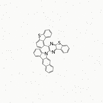 c1ccc2cc3c(cc2c1)c1ccccc1n3-c1nc2c(nc1-c1cccc3sc4ccccc4c13)sc1ccccc12